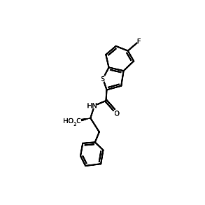 O=C(N[C@@H](Cc1ccccc1)C(=O)O)c1cc2cc(F)ccc2s1